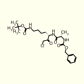 C[C@H](NC(=O)OCc1ccccc1)C(=O)N[C@@H](CCCCNC(=O)OC(C)(C)C)C(=O)CCl